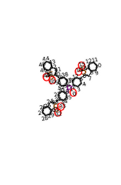 O=P(c1ccc(C2=Cc3ccccc3S2(=O)=O)cc1)(c1ccc(C2=Cc3ccccc3S2(=O)=O)cc1)c1ccc(C2=Cc3ccccc3S2(=O)=O)cc1